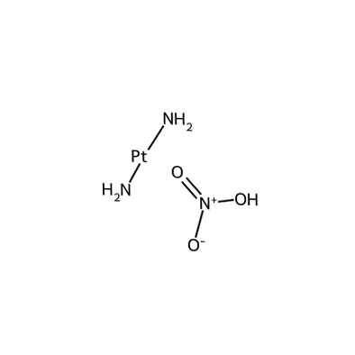 O=[N+]([O-])O.[NH2][Pt][NH2]